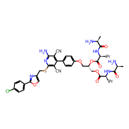 CC(C)[C@H](NC(=O)[C@H](C)N)C(=O)OC[C@H](COc1ccc(-c2c(C#N)c(N)nc(SCc3coc(-c4ccc(Cl)cc4)n3)c2C#N)cc1)OC(=O)[C@@H](NC(=O)[C@H](C)N)C(C)C